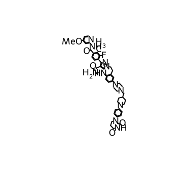 COc1ccnc(NC(=O)c2ccc(-c3nn4c(c3C(N)=O)Nc3ccc(N5CCN(CC6CCN(c7ccc(N8CCC(=O)NC8=O)cc7)CC6)CC5)cc3CC4)c(F)c2C)c1